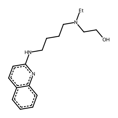 CCN(CCO)CCCCNc1ccc2ccccc2n1